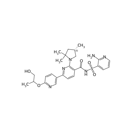 CC(CO)Oc1ccc(-c2ccc(C(=O)NS(=O)(=O)c3cccnc3N)c(N3C[C@@H](C)CC3(C)C)n2)cn1